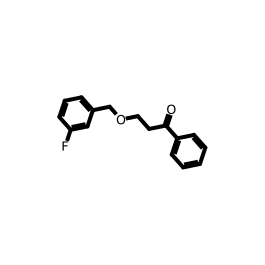 O=C(CCOCc1cccc(F)c1)c1ccccc1